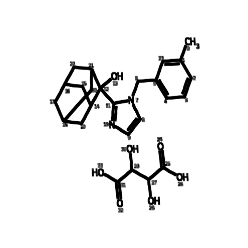 Cc1cccc(Cn2ccnc2C2(O)C3CC4CC(C3)CC2C4)c1.O=C(O)C(O)C(O)C(=O)O